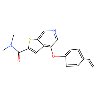 C=Cc1ccc(Oc2cncc3sc(C(=O)N(C)C)cc23)cc1